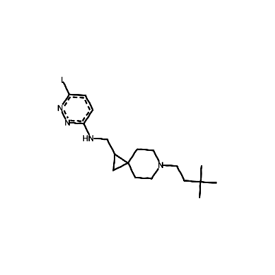 CC(C)(C)CCN1CCC2(CC1)CC2CNc1ccc(I)nn1